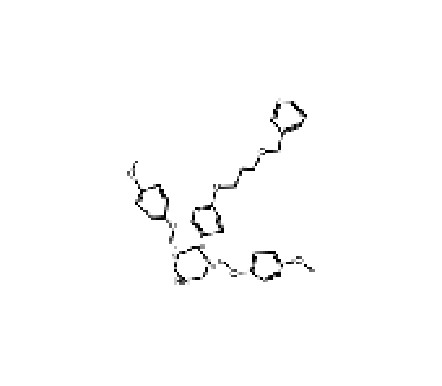 COc1ccc(OC[C@H]2CNC[C@@H](COc3ccc(OC)cc3)[C@H]2c2ccc(OCCCOCc3ccccc3)cc2)cc1